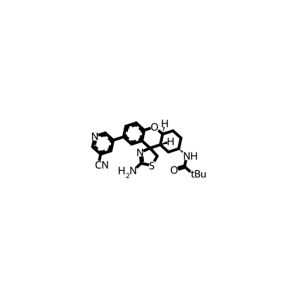 CC(C)(C)C(=O)N[C@H]1CC[C@@H]2Oc3ccc(-c4cncc(C#N)c4)cc3C3(CSC(N)=N3)[C@H]2C1